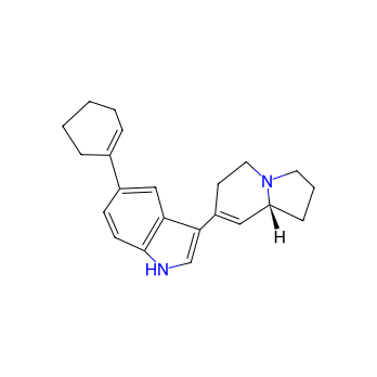 C1=C(c2ccc3[nH]cc(C4=C[C@H]5CCCN5CC4)c3c2)CCCC1